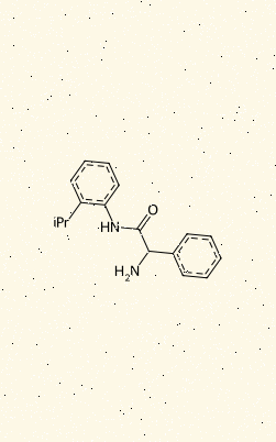 CC(C)c1ccccc1NC(=O)C(N)c1ccccc1